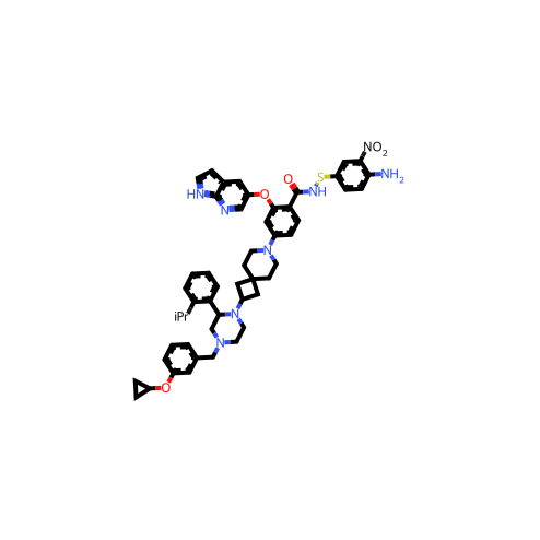 CC(C)c1ccccc1C1CN(Cc2cccc(OC3CC3)c2)CCN1C1CC2(CCN(c3ccc(C(=O)NSc4ccc(N)c([N+](=O)[O-])c4)c(Oc4cnc5[nH]ccc5c4)c3)CC2)C1